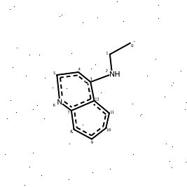 CCNc1ccnc2ccccc12